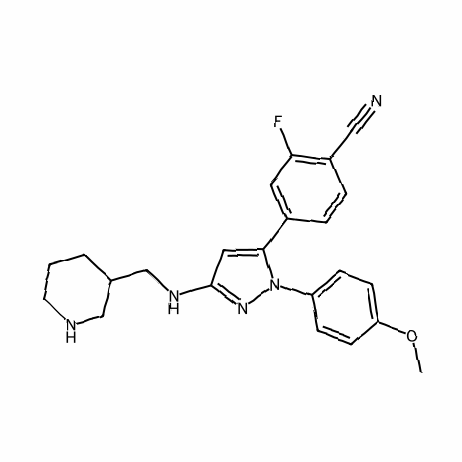 COc1ccc(-n2nc(NCC3CCCNC3)cc2-c2ccc(C#N)c(F)c2)cc1